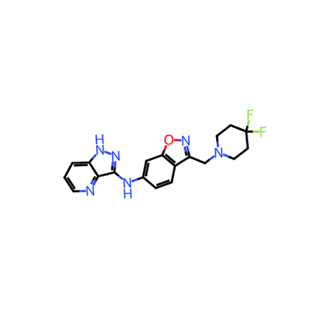 FC1(F)CCN(Cc2noc3cc(Nc4n[nH]c5cccnc45)ccc23)CC1